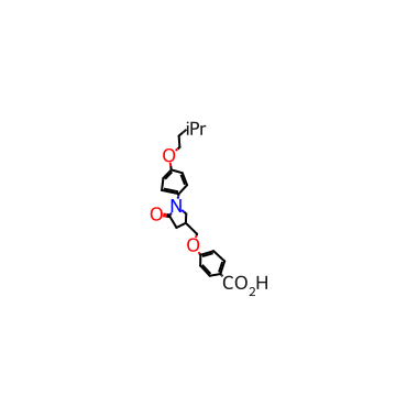 CC(C)CCOc1ccc(N2CC(COc3ccc(C(=O)O)cc3)CC2=O)cc1